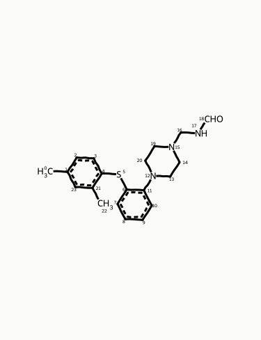 Cc1ccc(Sc2ccccc2N2CCN(CNC=O)CC2)c(C)c1